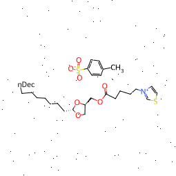 CCCCCCCCCCCCCCCCC[C@H]1OC[C@H](COC(=O)CCCC[n+]2ccsc2)O1.Cc1ccc(S(=O)(=O)[O-])cc1